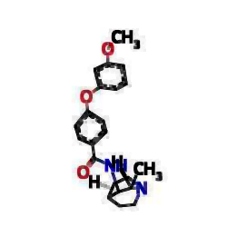 COc1cccc(Oc2ccc(C(=O)N[C@@H]3C4CCN(CC4)[C@H]3C)cc2)c1